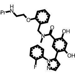 CC(C)NCCOc1ccccc1CN(C)C(=O)c1cc(-c2ccnn2-c2ccccc2F)c(O)cc1O